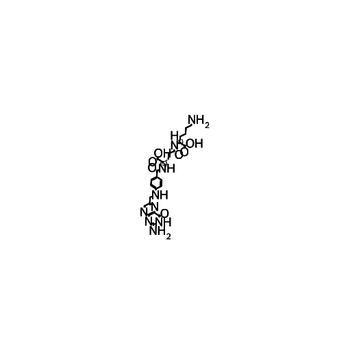 NCCCC[C@H](NC(=O)CC[C@H](NC(=O)c1ccc(NCc2cnc3nc(N)[nH]c(=O)c3n2)cc1)C(=O)O)C(=O)O